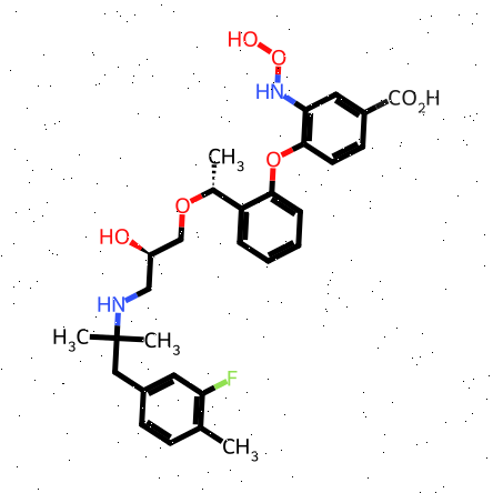 Cc1ccc(CC(C)(C)NC[C@@H](O)CO[C@H](C)c2ccccc2Oc2ccc(C(=O)O)cc2NOO)cc1F